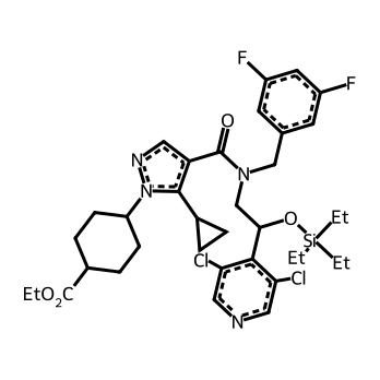 CCOC(=O)C1CCC(n2ncc(C(=O)N(Cc3cc(F)cc(F)c3)CC(O[Si](CC)(CC)CC)c3c(Cl)cncc3Cl)c2C2CC2)CC1